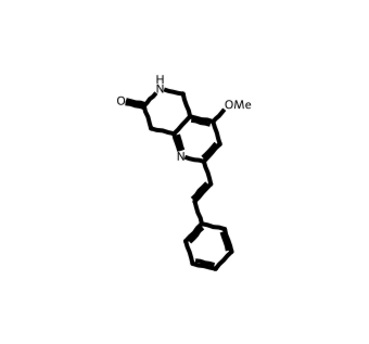 COc1cc(C=Cc2ccccc2)nc2c1CNC(=O)C2